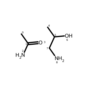 CC(N)=O.CC(O)CN